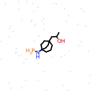 CC(O)CC12CCCC(NP)(CC1)CC2